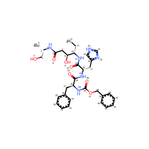 CC[C@H](C)[C@@H](CO)NC(=O)C[C@H](O)[C@H](CC(C)C)NC(=O)[C@H](Cc1c[nH]cn1)NC(=O)[C@H](Cc1ccccc1)NC(=O)OCc1ccccc1